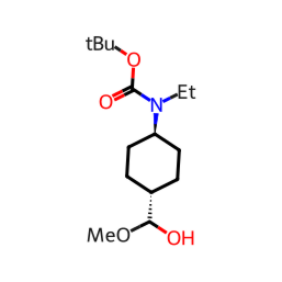 CCN(C(=O)OC(C)(C)C)[C@H]1CC[C@H](C(O)OC)CC1